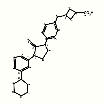 O=C(O)C1CN(Cc2ccc(N3CCN(c4cccc(C5CCCCC5)c4)C3=O)nc2)C1